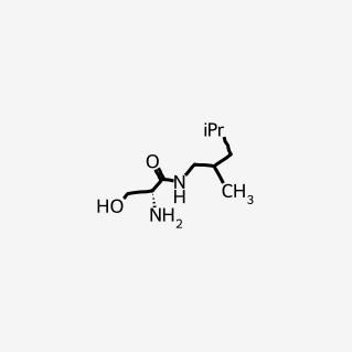 CC(C)CC(C)CNC(=O)[C@H](N)CO